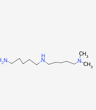 CN(C)CCCCCNCCCCCN